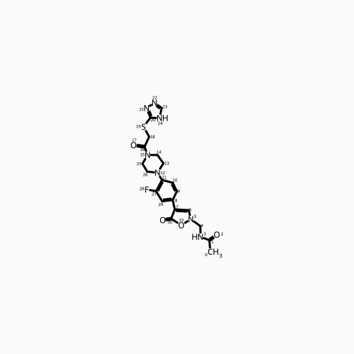 CC(=O)NCn1cc(-c2ccc(N3CCN(C(=O)CSc4nnc[nH]4)CC3)c(F)c2)c(=O)o1